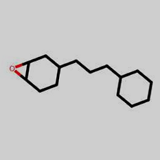 C1CCC(CCCC2CCC3OC3C2)CC1